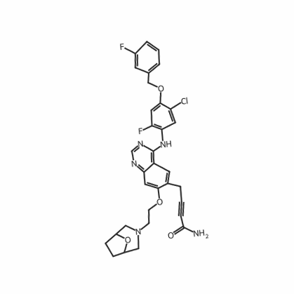 NC(=O)C#CCc1cc2c(Nc3cc(Cl)c(OCc4cccc(F)c4)cc3F)ncnc2cc1OCCN1CC2CCC(C1)O2